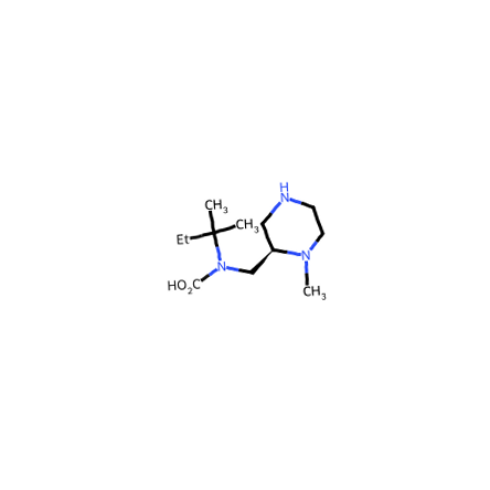 CCC(C)(C)N(C[C@H]1CNCCN1C)C(=O)O